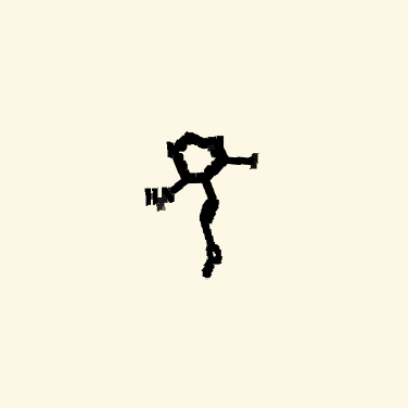 COC=Cc1c(N)ncnc1I